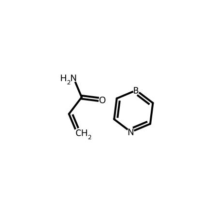 C=CC(N)=O.b1ccncc1